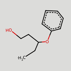 [CH2]CC(CCO)Oc1ccccc1